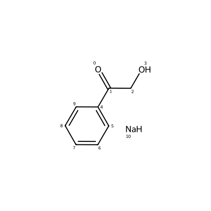 O=C(CO)c1ccccc1.[NaH]